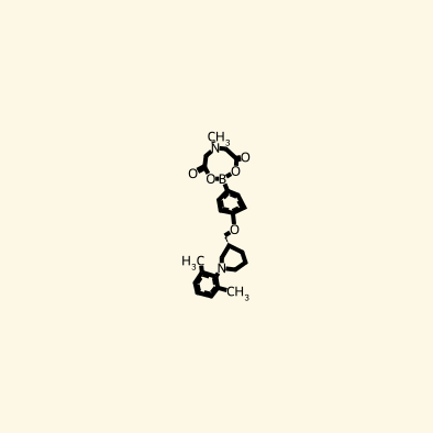 Cc1cccc(C)c1N1CCC[C@@H](COc2ccc(B3OC(=O)CN(C)CC(=O)O3)cc2)C1